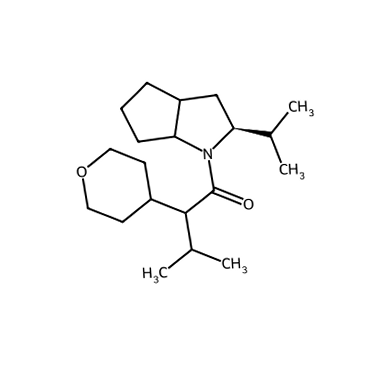 CC(C)C(C(=O)N1C2CCCC2C[C@H]1C(C)C)C1CCOCC1